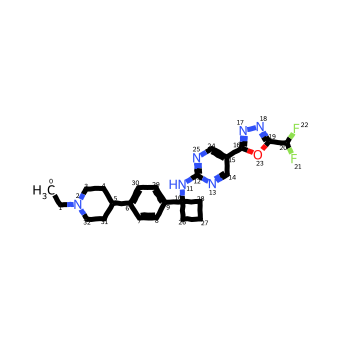 CCN1CCC(c2ccc(C3(Nc4ncc(-c5nnc(C(F)F)o5)cn4)CCC3)cc2)CC1